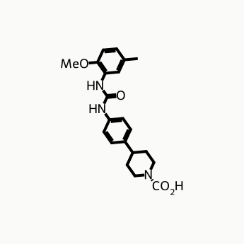 COc1ccc(C)cc1NC(=O)Nc1ccc(C2CCN(C(=O)O)CC2)cc1